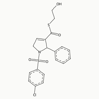 O=C(SCCO)C1=CCN(S(=O)(=O)c2ccc(Cl)cc2)C1c1ccccc1